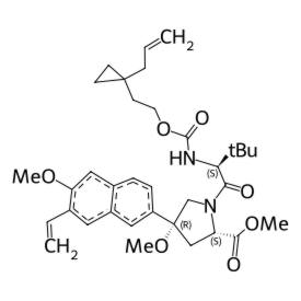 C=CCC1(CCOC(=O)N[C@H](C(=O)N2C[C@](OC)(c3ccc4cc(OC)c(C=C)cc4c3)C[C@H]2C(=O)OC)C(C)(C)C)CC1